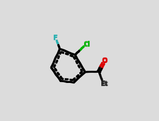 CCC(=O)c1cccc(F)c1Cl